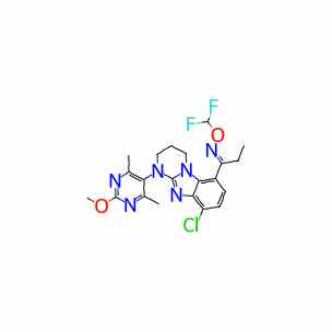 CCC(=NOC(F)F)c1ccc(Cl)c2nc3n(c12)CCCN3c1c(C)nc(OC)nc1C